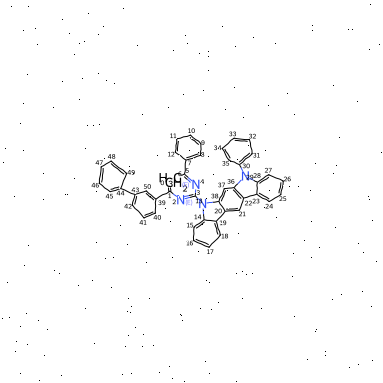 C=C(/N=C(\N=C(/C)c1ccccc1)n1c2ccccc2c2cc3c4ccccc4n(-c4ccccc4)c3cc21)c1cccc(-c2ccccc2)c1